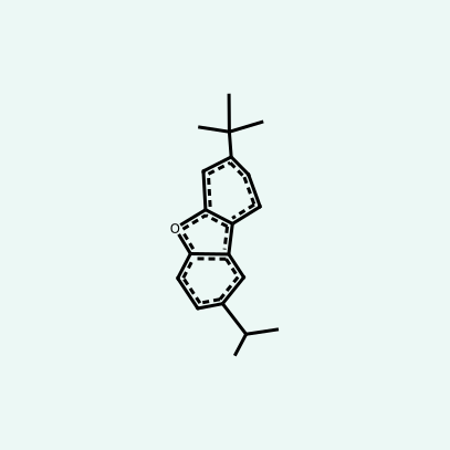 CC(C)c1ccc2oc3cc(C(C)(C)C)ccc3c2c1